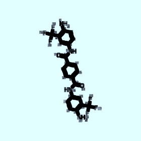 Nc1ccc(NC(=O)c2ccc(C(=O)Nc3ccc(N)c(C(F)(F)F)c3)cc2)cc1C(F)(F)F